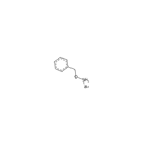 CCC(C)[SiH2]OCc1ccccc1